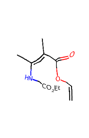 C=COC(=O)C(C)=C(C)NC(=O)OCC